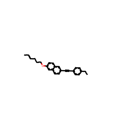 CCCCCCOc1ccc2cc(C#Cc3ccc(CC)cc3)ccc2c1